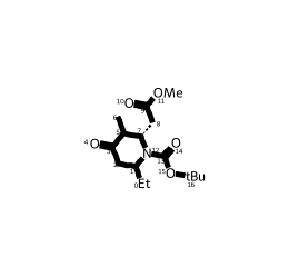 CCC1CC(=O)C(C)[C@H](CC(=O)OC)N1C(=O)OC(C)(C)C